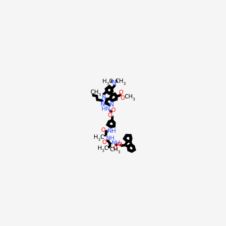 CCCCc1nc2c(NC(=O)OCc3ccc(NC(=O)[C@H](C)NC(=O)[C@@H](NC(=O)OCC4c5ccccc5-c5ccccc54)C(C)C)cc3)nc3cc(C(=O)OC)ccc3c2n1Cc1ccc(CN(C)C)cc1